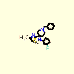 CC(=O)N(c1cccc(F)c1)C1(c2nc(C)cs2)CCN(Cc2ccccc2)CC1